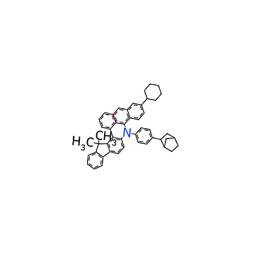 CC1(C)c2ccccc2-c2ccc(N(c3ccc(C4CC5CCC4C5)cc3)c3cccc4cc(C5CCCCC5)ccc34)c(-c3ccccc3)c21